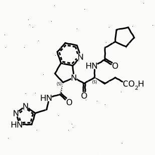 O=C(O)CC[C@H](NC(=O)CC1CCCC1)C(=O)N1c2ncccc2C[C@H]1C(=O)NCc1c[nH]nn1